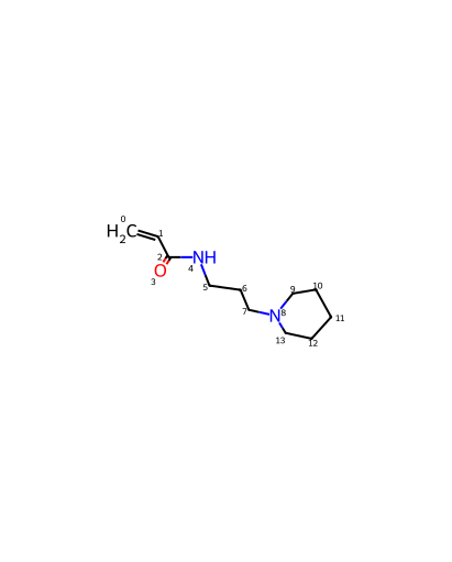 C=CC(=O)NCCCN1CCCCC1